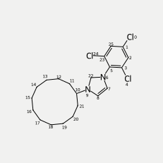 Clc1cc(Cl)c(N2C=CN(C3CCCCCCCCCCC3)C2)c(Cl)c1